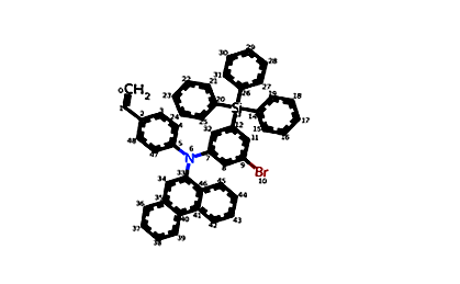 C=Cc1ccc(N(c2cc(Br)cc([Si](c3ccccc3)(c3ccccc3)c3ccccc3)c2)c2cc3ccccc3c3ccccc23)cc1